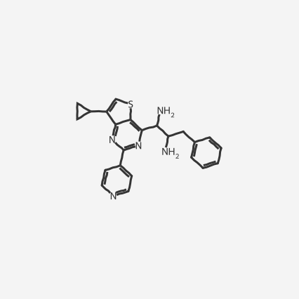 NC(Cc1ccccc1)C(N)c1nc(-c2ccncc2)nc2c(C3CC3)csc12